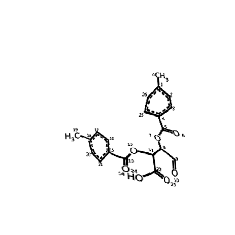 Cc1ccc(C(=O)OC(C=O)C(OC(=O)c2ccc(C)cc2)C(=O)O)cc1